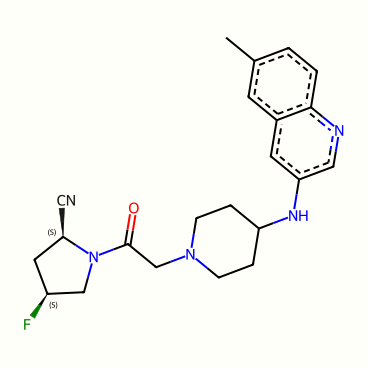 Cc1ccc2ncc(NC3CCN(CC(=O)N4C[C@@H](F)C[C@H]4C#N)CC3)cc2c1